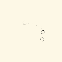 CN1CCC(C2CCN(CCCNC(=O)c3ccc(Oc4ccccc4)cc3)CC2)CC1